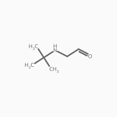 CC(C)(C)NCC=O